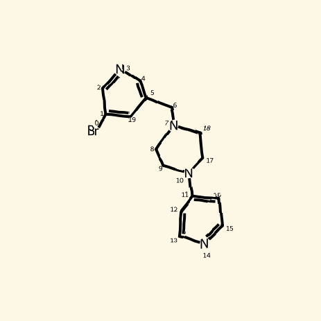 Brc1cncc(CN2CCN(c3ccncc3)CC2)c1